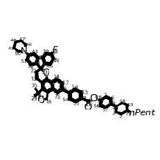 CCCCCC1CCC(c2ccc(OC(=O)c3ccc(-c4ccc5c6c(c7c(c5c4)COC7(C)C)C=CC(c4ccc(F)cc4)(c4ccc(N5CCCCC5)cc4)O6)cc3)cc2)CC1